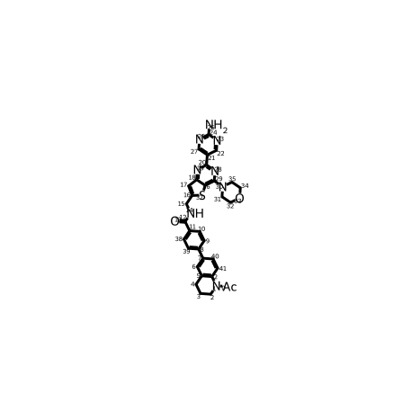 CC(=O)N1CCCc2cc(-c3ccc(C(=O)NCc4cc5nc(-c6cnc(N)nc6)nc(N6CCOCC6)c5s4)cc3)ccc21